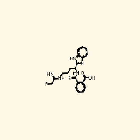 N=C(CF)NCCC[C@H](NC(=O)c1ccccc1C(=O)O)c1nc2ccccc2[nH]1